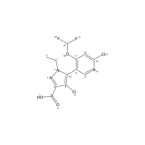 CCn1nc(C(=O)O)c(Cl)c1-c1cnc(Cl)cc1OC(F)F